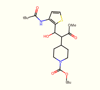 COC(=O)C(C1CCN(C(=O)OC(C)(C)C)CC1)C(O)c1sccc1NC(=O)C(C)(C)C